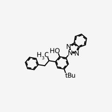 CC(Cc1ccccc1)c1cc(C(C)(C)C)cc(-n2nc3ccccc3n2)c1O